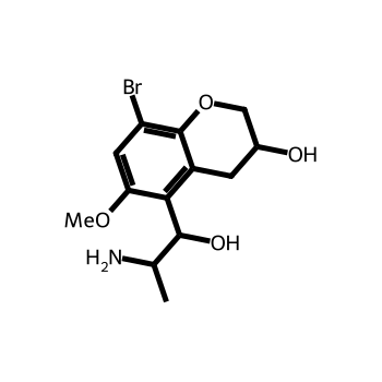 COc1cc(Br)c2c(c1C(O)C(C)N)CC(O)CO2